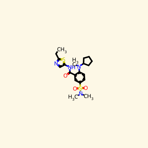 CCc1ncc(NC(=O)c2cc(S(=O)(=O)N(C)C)ccc2N(C)C2CCCC2)s1